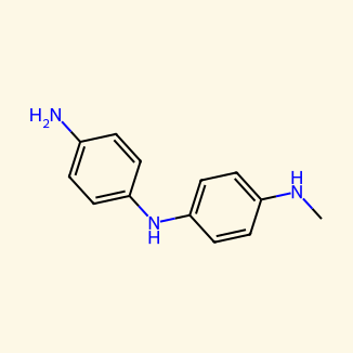 CNc1ccc(Nc2ccc(N)cc2)cc1